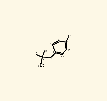 CCC(C)(C)Cc1ccc(I)cc1